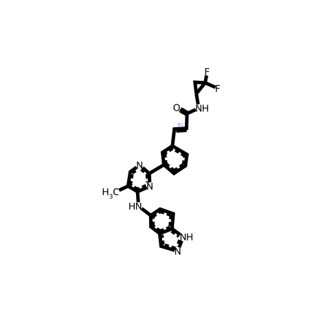 Cc1cnc(-c2cccc(/C=C/C(=O)NC3CC3(F)F)c2)nc1Nc1ccc2[nH]ncc2c1